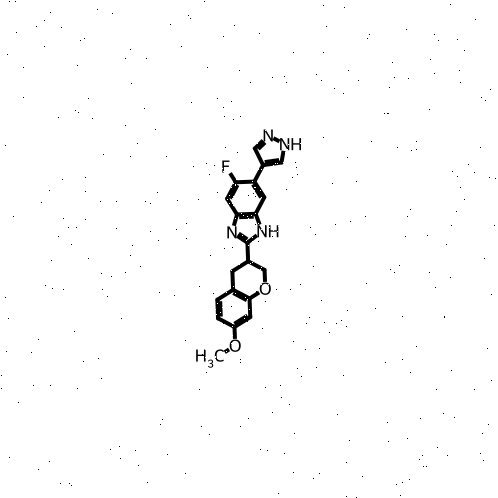 COc1ccc2c(c1)OCC(c1nc3cc(F)c(-c4cn[nH]c4)cc3[nH]1)C2